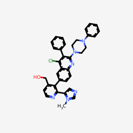 Cn1cncc1-c1nccc(CO)c1-c1ccc2nc(N3CCN(c4ccccc4)CC3)c(-c3ccccc3)c(Cl)c2c1